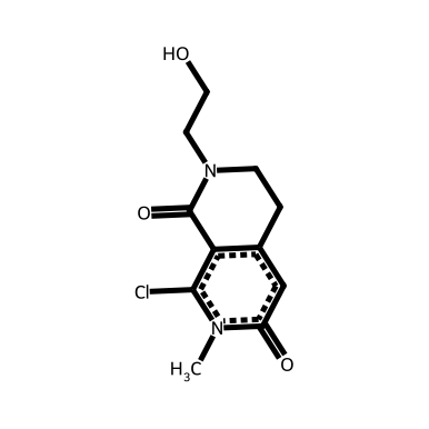 Cn1c(Cl)c2c(cc1=O)CCN(CCO)C2=O